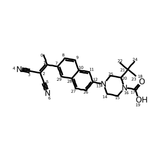 CC(=C(C#N)C#N)c1ccc2cc(N3CCN(C(=O)O)C(C(C)(C)C)C3)ccc2c1